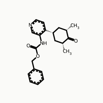 C[C@@H]1C[C@H](c2ccncc2NC(=O)OCc2ccccc2)C[C@H](C)C1=O